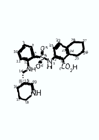 O=C(O)c1c(NS(=O)(=O)c2ccccc2NC[C@H]2CCCNC2)ccc2c1CCCC2